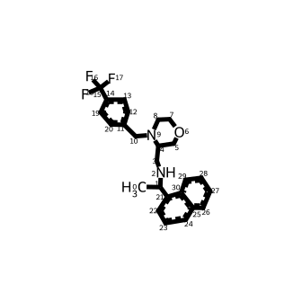 CC(NCC1COCCN1Cc1ccc(C(F)(F)F)cc1)c1cccc2ccccc12